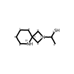 CC(S)N1CC2(CCCCN2)C1